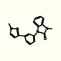 Cn1ccc(-c2cccc(-n3c(=O)n(C)c4ccccc43)c2)n1